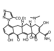 CCOC(=O)c1cnnn1-c1ccc(O)c2c1C[C@@H]1C[C@@H]3[C@H](N(C)C)C(O)=C(C(N)=O)C(=O)[C@]3(O)C(O)=C1C2=O